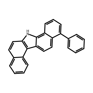 c1ccc(-c2cccc3c2ccc2c3[nH]c3ccc4ccccc4c32)cc1